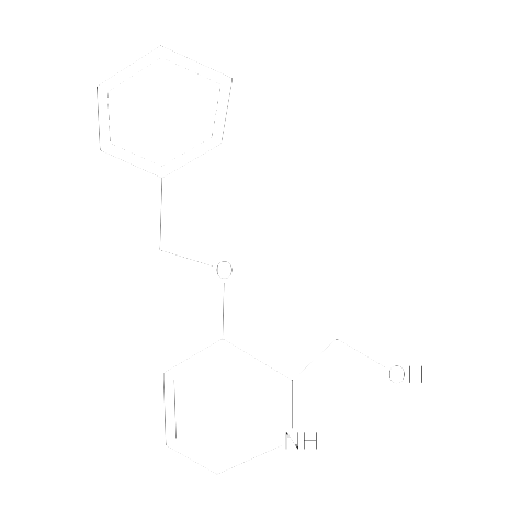 OCC1NCC=CC1OCc1ccccc1